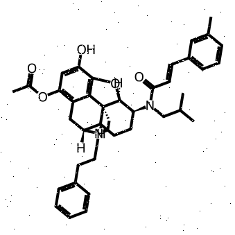 CC(=O)Oc1cc(O)c2c3c1C[C@@H]1[C@@H]4CC[C@H](N(CC(C)C)C(=O)C=Cc5cccc(C)c5)[C@H](O2)[C@]34CCN1CCc1ccccc1